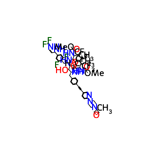 COC(=O)N[C@H](C(=O)N[C@@H](Cc1ccc(C#Cc2ccc(N3CCN(C4(C)COC4)CC3)nc2)cc1)[C@@H](O)CN(Cc1c(F)cc(C(=N)/C=C\NC(F)F)cc1F)NC(=O)[C@@H](NC(=O)OC)C(C)(C)C(F)(F)F)C(C)(C)C(F)(F)F